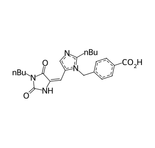 CCCCc1ncc(C=C2NC(=O)N(CCCC)C2=O)n1Cc1ccc(C(=O)O)cc1